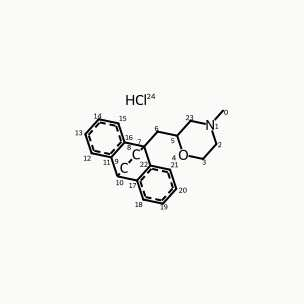 CN1CCOC(CC23CCC(c4ccccc42)c2ccccc23)C1.Cl